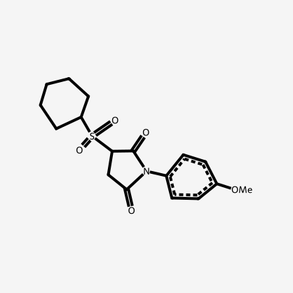 COc1ccc(N2C(=O)CC(S(=O)(=O)C3CCCCC3)C2=O)cc1